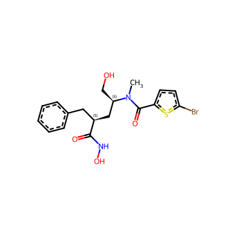 CN(C(=O)c1ccc(Br)s1)[C@H](CO)C[C@H](Cc1ccccc1)C(=O)NO